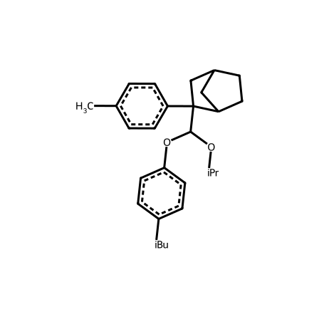 CCC(C)c1ccc(OC(OC(C)C)C2(c3ccc(C)cc3)CC3CCC2C3)cc1